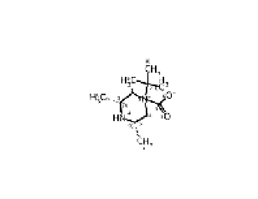 C[C@@H]1C[N+](C(=O)[O-])(C(C)(C)C)C[C@H](C)N1